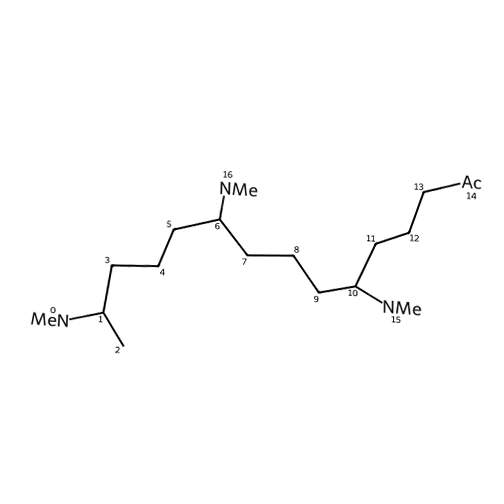 CNC(C)CCCC(CCCC(CCCC(C)=O)NC)NC